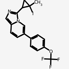 CC1(I)CC1c1ncc2ccc(-c3ccc(OC(F)(F)F)cc3)cn12